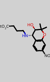 CCOC(=O)CCCN[C@H]1c2ccc([N+](=O)[O-])cc2OC(C)(C)[C@@H]1O